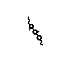 CCCCc1ccc(-c2ccc(-c3ccc(CCC)cc3)c(F)c2)c(F)c1